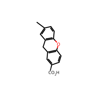 Cc1ccc2c(c1)Cc1cc(C(=O)O)ccc1O2